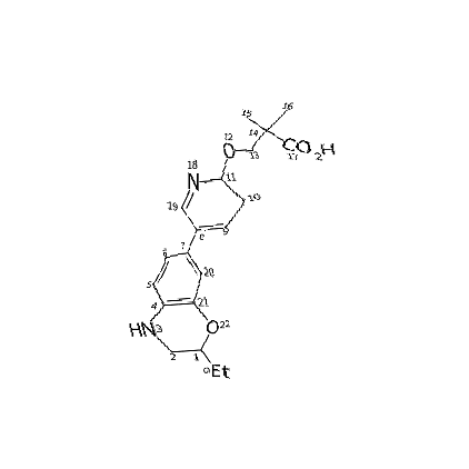 CCC1CNc2ccc(C3=CCC(OCC(C)(C)C(=O)O)N=C3)cc2O1